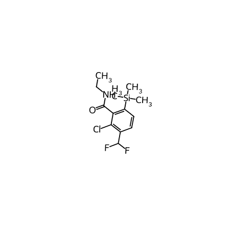 CCNC(=O)c1c([Si](C)(C)C)ccc(C(F)F)c1Cl